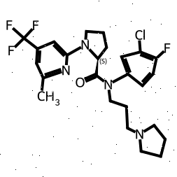 Cc1cc(C(F)(F)F)cc(N2CCC[C@H]2C(=O)N(CCCN2CCCC2)c2ccc(F)c(Cl)c2)n1